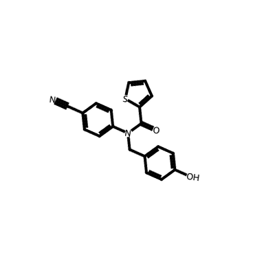 N#Cc1ccc(N(Cc2ccc(O)cc2)C(=O)c2cccs2)cc1